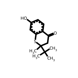 CC(C)(C)C1(C)CC(=O)c2ccc(O)cc2S1